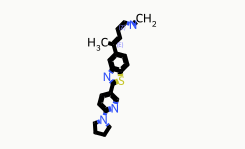 C=N/C=C\C=C(/C)c1ccc2sc(-c3ccc(N4CCCC4)nc3)nc2c1